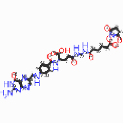 Nc1nc2ncc(CNc3ccc(C(=O)NC(CCC(=O)NCNC(=O)CCCCC(=O)ON4C(=O)CCC4=O)C(=O)O)cc3)nc2c(=O)[nH]1